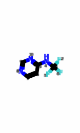 FC(F)(F)Nc1ccncn1